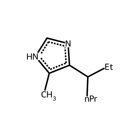 CCCC(CC)c1nc[nH]c1C